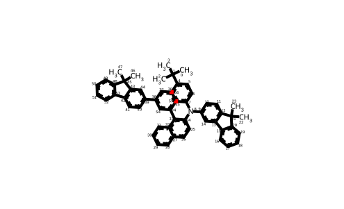 CC(C)(C)c1ccc(N(c2ccc3c(c2)-c2ccccc2C3(C)C)c2ccc3ccccc3c2-c2cccc(-c3ccc4c(c3)C(C)(C)c3ccccc3-4)c2)cc1